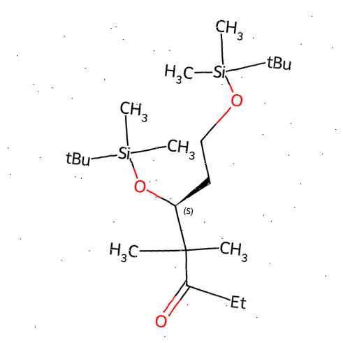 CCC(=O)C(C)(C)[C@H](CCO[Si](C)(C)C(C)(C)C)O[Si](C)(C)C(C)(C)C